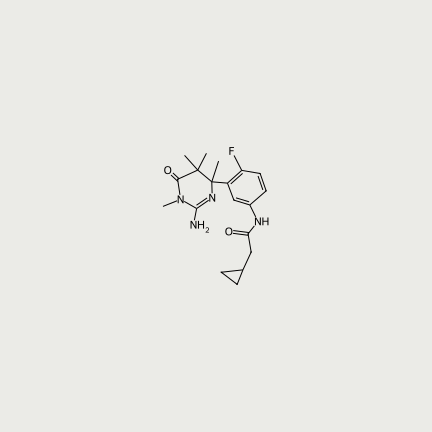 CN1C(=O)C(C)(C)C(C)(c2cc(NC(=O)CC3CC3)ccc2F)N=C1N